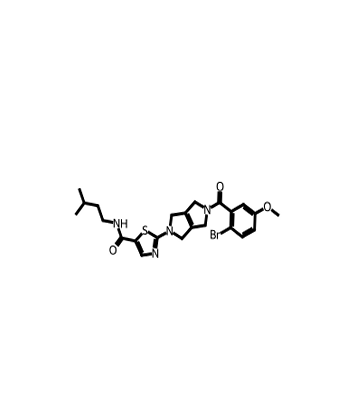 COc1ccc(Br)c(C(=O)N2CC3=C(C2)CN(c2ncc(C(=O)NCCC(C)C)s2)C3)c1